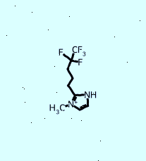 C[n+]1cc[nH]c1CCCC(F)(F)C(F)(F)F